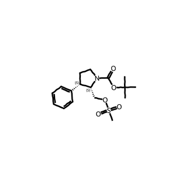 CC(C)(C)OC(=O)N1CC[C@@H](c2ccccc2)[C@H]1COS(C)(=O)=O